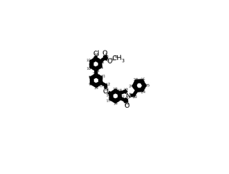 COC(=O)c1cc(-c2cccc(COc3ccc4c(c3)CN(Cc3ccccc3)C4=O)c2)ccc1Cl